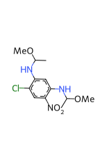 COC(C)Nc1cc(NC(C)OC)c([N+](=O)[O-])cc1Cl